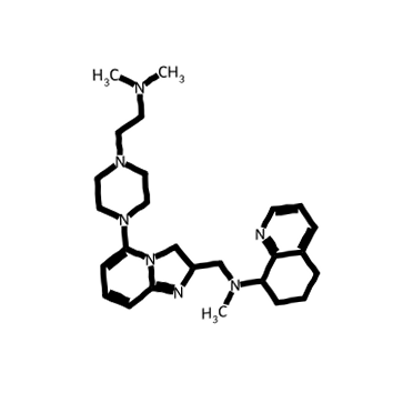 CN(C)CCN1CCN(C2=CC=CC3=NC(CN(C)C4CCCc5cccnc54)CN23)CC1